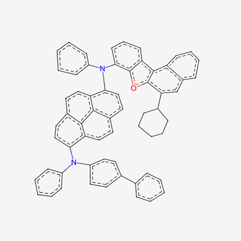 c1ccc(-c2ccc(N(c3ccccc3)c3ccc4ccc5c(N(c6ccccc6)c6cccc7c6oc6c(C8CCCCC8)cc8ccccc8c67)ccc6ccc3c4c65)cc2)cc1